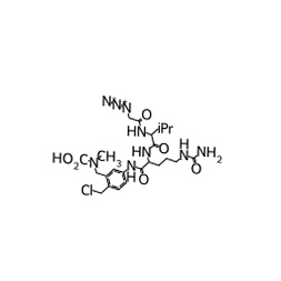 CC(C)C(NC(=O)CN=[N+]=[N-])C(=O)NC(CCCNC(N)=O)C(=O)Nc1ccc(CCl)c(CN(C)C(=O)O)c1